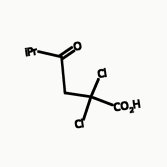 CC(C)C(=O)CC(Cl)(Cl)C(=O)O